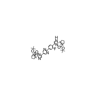 CC(C)(C)OC(=O)N1CCC[C@H]1c1nc(-c2ccc(-c3ncc(-c4cnc([C@@H]5CCCN5C(=O)OC(C)(C)C)[nH]4)cn3)cc2F)c[nH]1